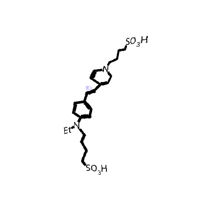 CCN(CCCCS(=O)(=O)O)c1ccc(/C=C/C2=CCN(CCCCS(=O)(=O)O)C=C2)cc1